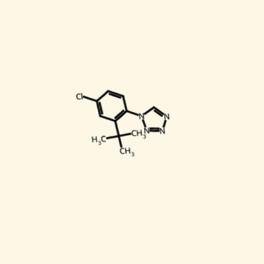 CC(C)(C)c1cc(Cl)ccc1-n1cnnn1